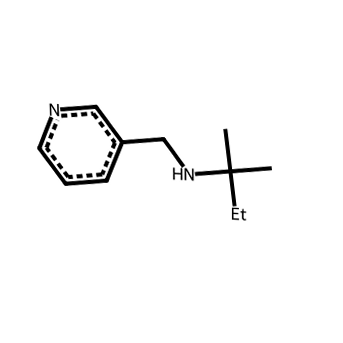 CCC(C)(C)NCc1cccnc1